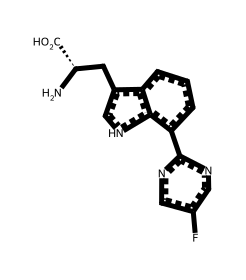 N[C@@H](Cc1c[nH]c2c(-c3ncc(F)cn3)cccc12)C(=O)O